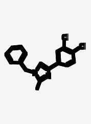 Cc1nc(-c2ccc(Cl)c(Cl)c2)cn1Cc1ccccc1